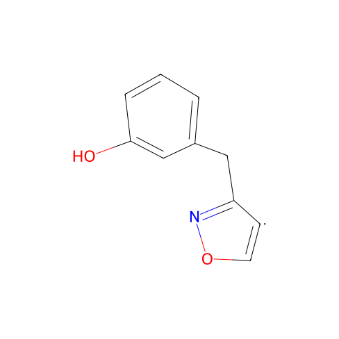 Oc1cccc(Cc2[c]con2)c1